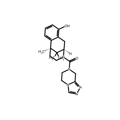 CC1(C)[C@H]2Cc3c(O)cccc3[C@]1(C)CCN2C(=O)N1CCn2cnnc2C1